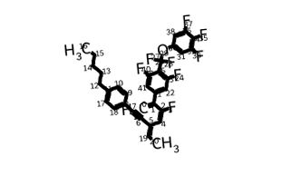 C=C(/C(F)=C\C(C#Cc1ccc(CCCCC)cc1)=C/C)c1cc(F)c(C(F)(F)Oc2cc(F)c(F)c(F)c2)c(F)c1